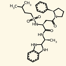 CC(C)CCS(=O)(=O)N[C@@H](CC(=O)N1CCC[C@@H]1c1ccccc1)C(=O)N[C@@H](C)C1Nc2ccccc2N1